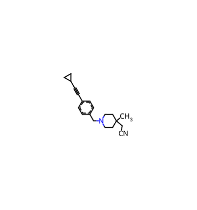 CC1(CC#N)CCN(Cc2ccc(C#CC3CC3)cc2)CC1